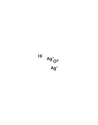 I.[Ag+].[Ag+].[O-2]